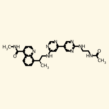 CNC(=O)c1ccnc2c([C@H](C)CNc3cc(-c4cnc(NCCNC(C)=O)nc4)ncn3)cccc12